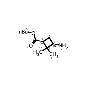 CCCCOC(=O)[C@H]1C[C@@H](N)C1(C)C